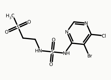 CS(=O)(=O)CCNS(=O)(=O)Nc1ncnc(Cl)c1Br